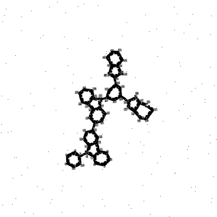 c1ccc(-n2c3ccccc3c3cc(-c4ccc5c(c4)c4ccccc4n5-c4cc(-c5nc6ccccc6s5)cc(-c5nc6ccccc6s5)c4)ccc32)cc1